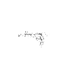 COC(=O)NCc1ccc(C(=O)Nc2cc(-c3ccccc3)ccc2N(C(=O)O)C(C)(C)C)cc1